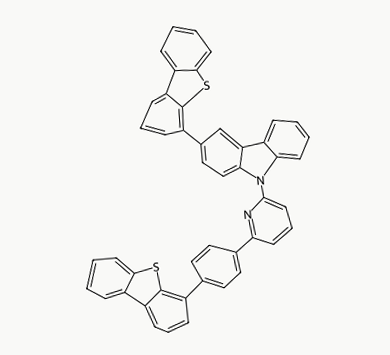 c1cc(-c2ccc(-c3cccc4c3sc3ccccc34)cc2)nc(-n2c3ccccc3c3cc(-c4cccc5c4sc4ccccc45)ccc32)c1